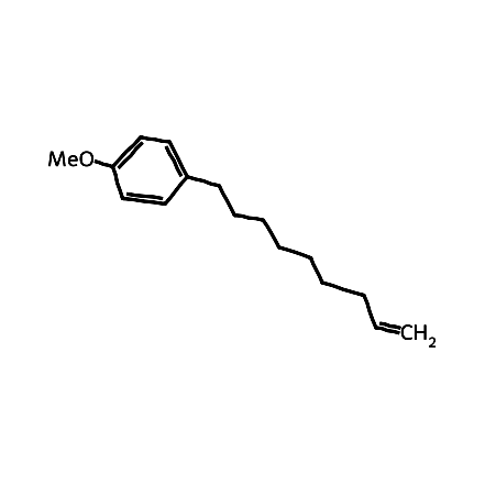 C=CCCCCCCCc1ccc(OC)cc1